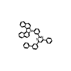 c1ccc(-c2cccc(-c3cc(-c4ccccc4)nc(-c4cccc(-n5c6ccc7ccccc7c6c6c7ccccc7ccc65)c4)n3)c2)cc1